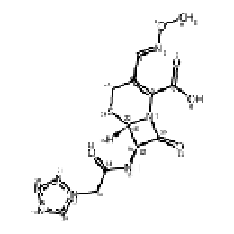 CON=CC1=C(C(=O)O)N2C(=O)[C@@H](NC(=O)Cn3cnnn3)[C@@H]2SC1